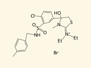 CC[N+](CC)=C1SCC(O)(c2ccc(Cl)c(S(=O)(=O)NCc3ccc(C)cc3)c2)N1C.[Br-]